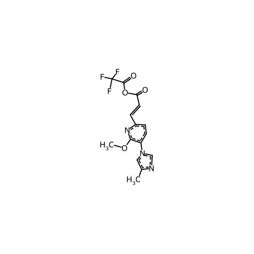 COc1nc(/C=C/C(=O)OC(=O)C(F)(F)F)ccc1-n1cnc(C)c1